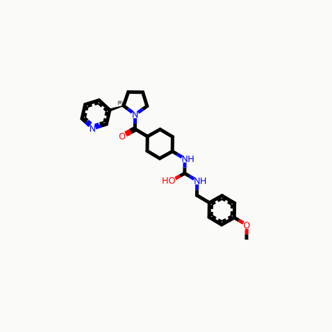 COc1ccc(CNC(O)NC2CCC(C(=O)N3CCC[C@@H]3c3cccnc3)CC2)cc1